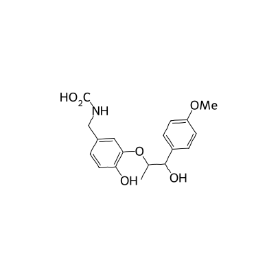 COc1ccc(C(O)C(C)Oc2cc(CNC(=O)O)ccc2O)cc1